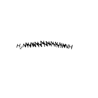 N=N/N=N/N=N/N=N/N=N/N=N/N=N/N=N/N=N/N